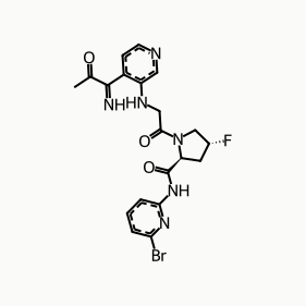 CC(=O)C(=N)c1ccncc1NCC(=O)N1C[C@H](F)C[C@H]1C(=O)Nc1cccc(Br)n1